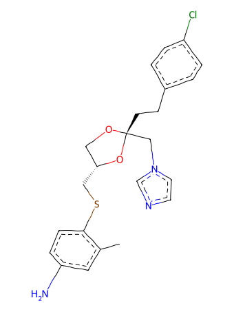 Cc1cc(N)ccc1SC[C@@H]1CO[C@](CCc2ccc(Cl)cc2)(Cn2ccnc2)O1